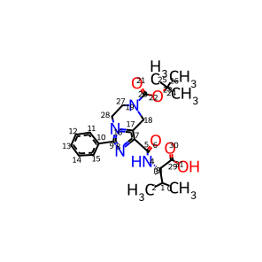 CC(C)[C@H](NC(=O)c1nc(-c2ccccc2)n2c1CN(C(=O)OC(C)(C)C)CC2)C(=O)O